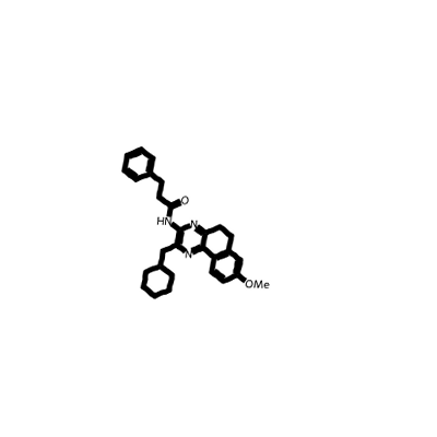 COc1ccc2c(c1)CCc1nc(NC(=O)CCc3ccccc3)c(CC3CCCCC3)nc1-2